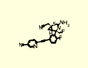 N#CC[C@]12C[C@H]1[C@@](CF)(c1cc(C#Cc3ccc(C#N)cn3)ccc1F)N=C(N)S2